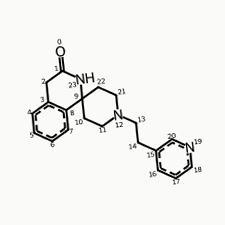 O=C1Cc2ccccc2C2(CCN(CCc3cccnc3)CC2)N1